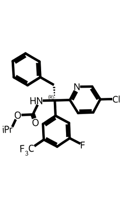 CC(C)OC(=O)N[C@](Cc1ccccc1)(c1cc(F)cc(C(F)(F)F)c1)c1ccc(Cl)cn1